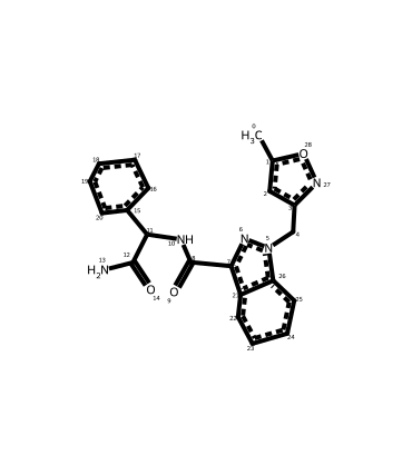 Cc1cc(Cn2nc(C(=O)NC(C(N)=O)c3ccccc3)c3ccccc32)no1